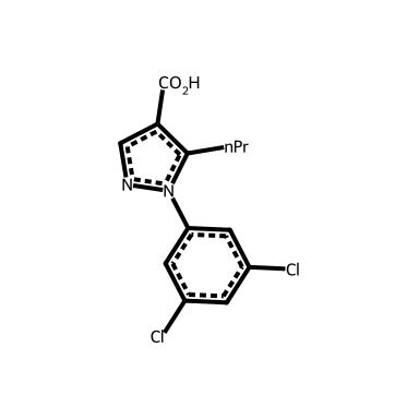 CCCc1c(C(=O)O)cnn1-c1cc(Cl)cc(Cl)c1